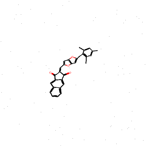 Cc1cc(C)c(-c2cc3oc(C=C4C(=O)c5cc6ccccc6cc5C4=O)cc3o2)c(C)c1